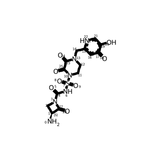 N[C@H]1CN(C(=O)NS(=O)(=O)N2CCN(Cc3cc(=O)c(O)c[nH]3)C(=O)C2=O)C1=O